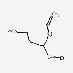 C=COC(CCO)OCC